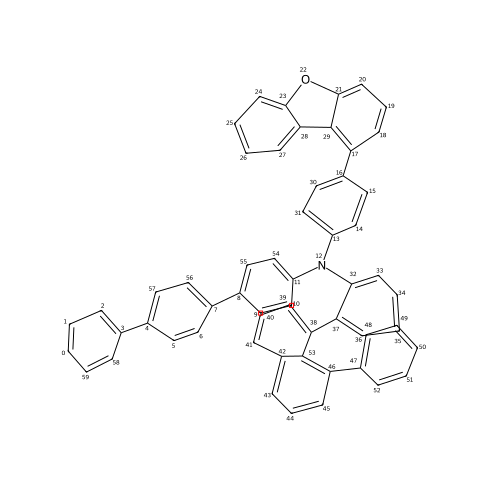 c1ccc(-c2ccc(-c3ccc(N(c4ccc(-c5cccc6oc7ccccc7c56)cc4)c4ccccc4-c4cccc5cccc(-c6ccccc6)c45)cc3)cc2)cc1